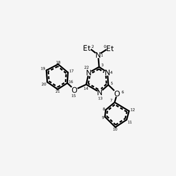 CCN(CC)c1nc(Oc2ccccc2)nc(Oc2ccccc2)n1